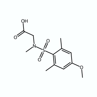 COc1cc(C)c(S(=O)(=O)N(C)CC(=O)O)c(C)c1